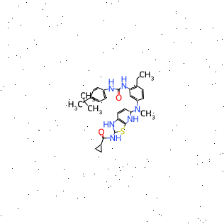 CCc1ccc(N(C)C2C=CC3=C(N2)SC(NC(=O)C2CC2)N3)cc1NC(=O)Nc1ccc(C(C)(C)C)cc1